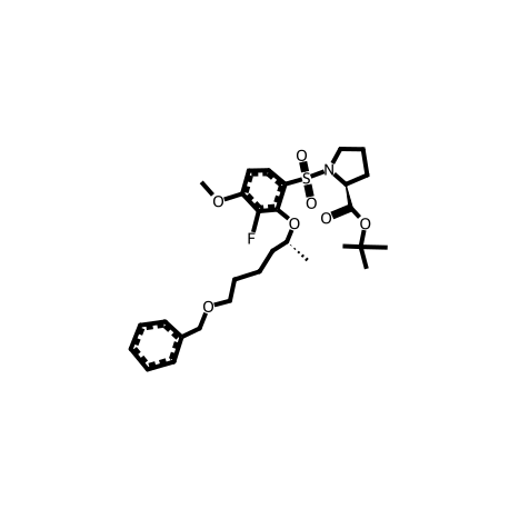 COc1ccc(S(=O)(=O)N2CCC[C@H]2C(=O)OC(C)(C)C)c(O[C@H](C)CCCCOCc2ccccc2)c1F